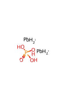 O=P(O)(O)O.[PbH2].[PbH2]